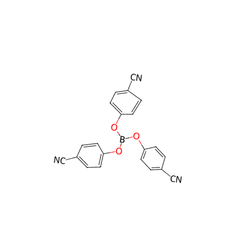 N#Cc1ccc(OB(Oc2ccc(C#N)cc2)Oc2ccc(C#N)cc2)cc1